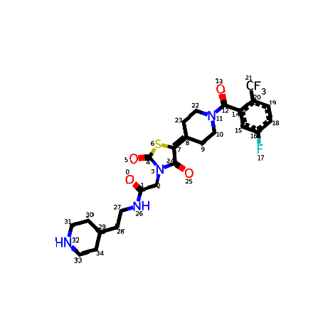 O=C(CN1C(=O)SC(=C2CCN(C(=O)c3cc(F)ccc3C(F)(F)F)CC2)C1=O)NCCC1CCNCC1